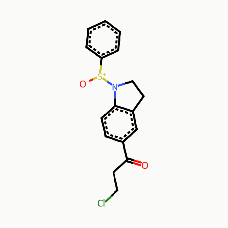 O=C(CCCl)c1ccc2c(c1)CCN2[S+]([O-])c1ccccc1